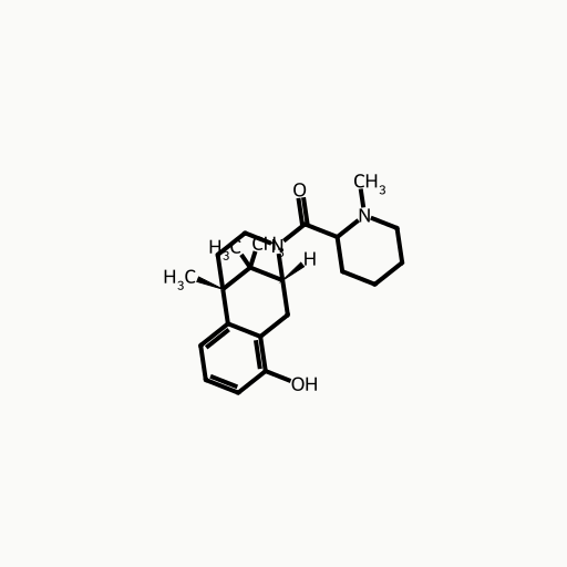 CN1CCCCC1C(=O)N1CC[C@@]2(C)c3cccc(O)c3C[C@@H]1C2(C)C